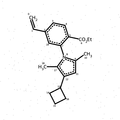 C=Cc1ccc(C(=O)OCC)c(-n2c(C)cc(C3CCC3)c2C)c1